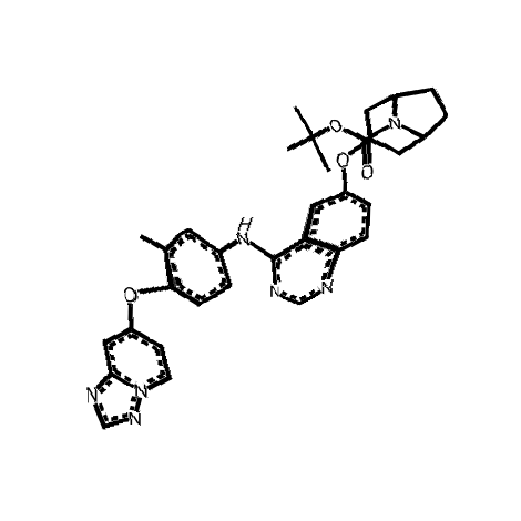 Cc1cc(Nc2ncnc3ccc(OC4CC5CCC(C4)N5C(=O)OC(C)(C)C)cc23)ccc1Oc1ccn2ncnc2c1